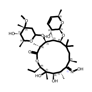 CC[C@H]1OC(=O)[C@H](C)[C@@H](OC2C[C@@](C)(OC)[C@@H](O)[C@H](C)O2)[C@H](C)[C@@H](O[C@@H]2O[C@H](C)C=C[C@H]2O)C(C)(C)C[C@@H](C)/C(=N\O)[C@H](C)[C@@H](O)[C@]1(C)O